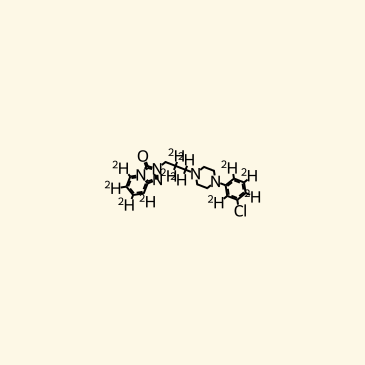 [2H]c1c([2H])c(Cl)c([2H])c(N2CCN(C([2H])([2H])C([2H])([2H])Cn3nc4c([2H])c([2H])c([2H])c([2H])n4c3=O)CC2)c1[2H]